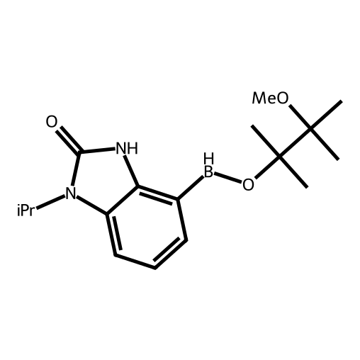 COC(C)(C)C(C)(C)OBc1cccc2c1[nH]c(=O)n2C(C)C